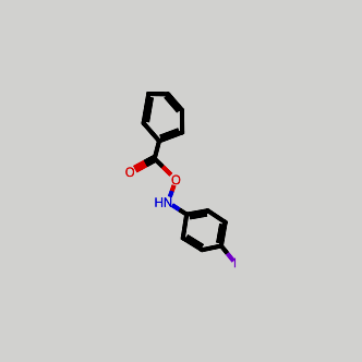 O=C(ONc1ccc(I)cc1)c1ccccc1